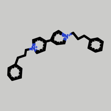 c1ccc(CCC[n+]2ccc(-c3cc[n+](CCCc4ccccc4)cc3)cc2)cc1